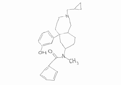 CN(C(=O)c1ccccc1)C1CCC2CN(CC3CC3)CCC2(c2cccc(O)c2)C1